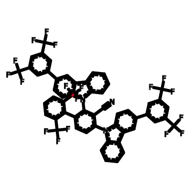 N#Cc1c(-n2c3ccccc3c3cc(-c4cc(C(F)(F)F)cc(C(F)(F)F)c4)ccc32)ccc(-c2c(C(F)(F)F)cccc2C(F)(F)F)c1-n1c2ccccc2c2cc(-c3cc(C(F)(F)F)cc(C(F)(F)F)c3)ccc21